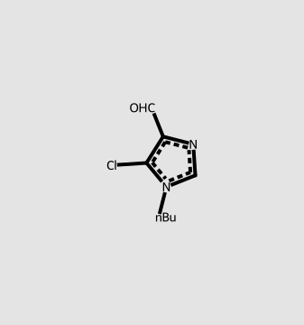 CCCCn1cnc(C=O)c1Cl